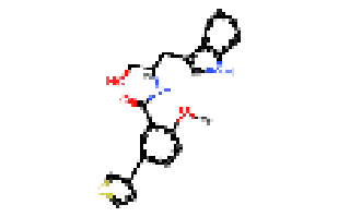 CCOc1ccc(-c2ccsc2)cc1C(=O)N[C@@H](CO)Cc1c[nH]c2ccccc12